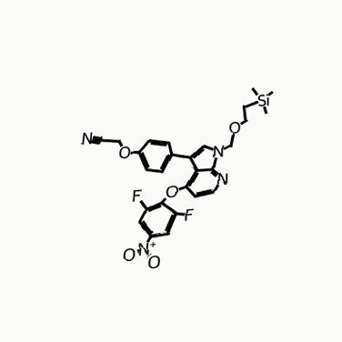 C[Si](C)(C)CCOCn1cc(-c2ccc(OCC#N)cc2)c2c(Oc3c(F)cc([N+](=O)[O-])cc3F)ccnc21